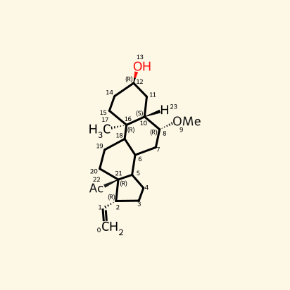 C=C[C@H]1CCC2C3C[C@@H](OC)[C@H]4C[C@H](O)CC[C@]4(C)C3CC[C@]21C(C)=O